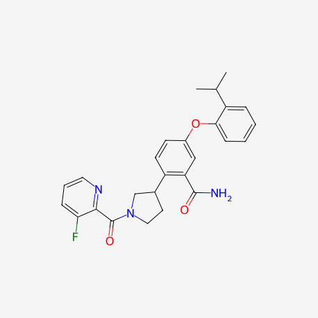 CC(C)c1ccccc1Oc1ccc(C2CCN(C(=O)c3ncccc3F)C2)c(C(N)=O)c1